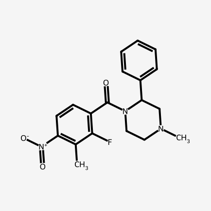 Cc1c([N+](=O)[O-])ccc(C(=O)N2CCN(C)CC2c2ccccc2)c1F